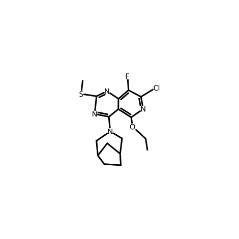 CCOc1nc(Cl)c(F)c2nc(SC)nc(N3CC4CCC(C4)C3)c12